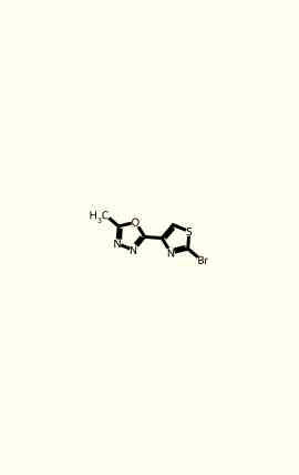 Cc1nnc(-c2csc(Br)n2)o1